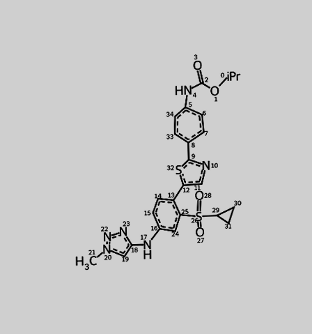 CC(C)OC(=O)Nc1ccc(-c2ncc(-c3ccc(Nc4cn(C)nn4)cc3S(=O)(=O)C3CC3)s2)cc1